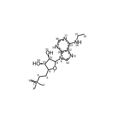 C=P(C)(C)CCC1OC(n2cnc3c(NCC)ncnc32)[C@H](O)[C@@H]1O